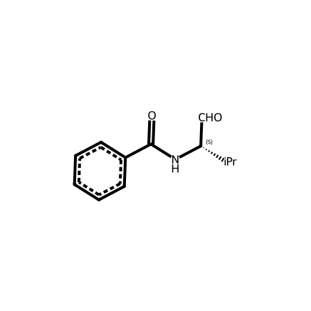 CC(C)[C@@H](C=O)NC(=O)c1ccccc1